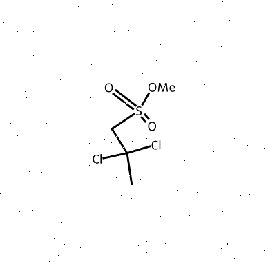 COS(=O)(=O)CC(C)(Cl)Cl